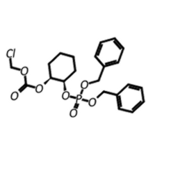 O=C(OCCl)O[C@H]1CCCC[C@H]1OP(=O)(OCc1ccccc1)OCc1ccccc1